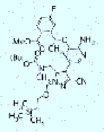 COC(=O)c1ccc(F)cc1[C@@H](C)Oc1nc(-c2c(C#N)nn(COCC[Si](C)(C)C)c2CN(C)C(=O)OC(C)(C)C)cnc1N